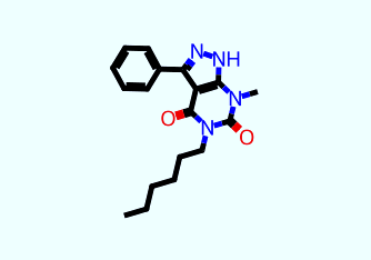 CCCCCCn1c(=O)c2c(-c3ccccc3)n[nH]c2n(C)c1=O